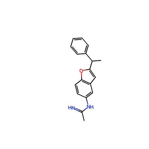 CC(=N)Nc1ccc2oc(C(C)c3ccccc3)cc2c1